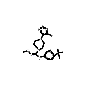 CO/N=C(/Nc1ccc(C(C)(C)C)cc1)N1CCN(c2nsnc2F)CC1